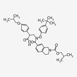 CC(C)COC(=O)N1CCc2ccc(C(=O)N(CC(C(=O)O)c3ccc(OCC(C)C)cc3)Oc3ccc(C(C)(C)C)cc3)cc2C1